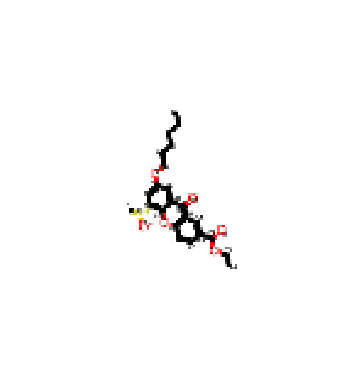 CCCCCCOc1cc([S+](C)[O-])c2oc3ccc(C(=O)OCC)cc3c(=O)c2c1